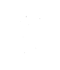 CN1C(=O)C2(CCN(Cc3cnc(NC(C)(C)CO)nc3)CC2)c2cc(Cl)ccc21